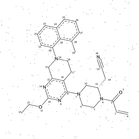 C=CC(=O)N1CCN(c2nc(OCC)nc3c2CCN(c2cccc4cccc(C)c24)C3)C[C@@H]1CC#N